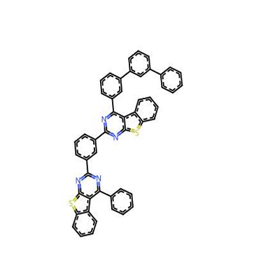 c1ccc(-c2cccc(-c3cccc(-c4nc(-c5cccc(-c6nc(-c7ccccc7)c7c(n6)sc6ccccc67)c5)nc5sc6ccccc6c45)c3)c2)cc1